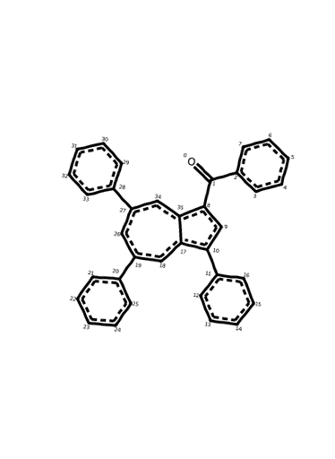 O=C(c1ccccc1)c1cc(-c2ccccc2)c2cc(-c3ccccc3)cc(-c3ccccc3)cc1-2